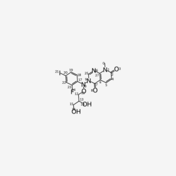 Cn1c(=O)ccc2c(=O)n(N(OCC(O)CO)c3ccc(I)cc3F)cnc21